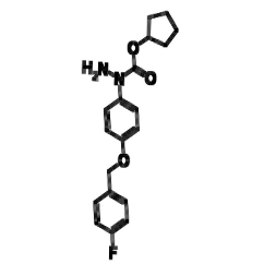 NN(C(=O)OC1CCCC1)c1ccc(OCc2ccc(F)cc2)cc1